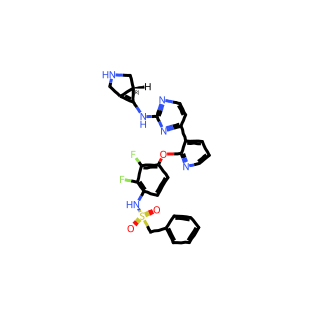 O=S(=O)(Cc1ccccc1)Nc1ccc(Oc2ncccc2-c2ccnc(NC3=C4CNC[C@@H]43)n2)c(F)c1F